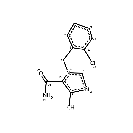 Cc1ncn(Cc2ccccc2Cl)c1C(N)=O